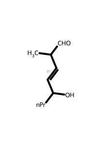 CCCC(O)/C=C/C(C)C=O